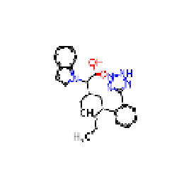 CCCC(CC(CC)C(C(=O)O)n1ccc2ccccc21)c1ccccc1-c1nn[nH]n1